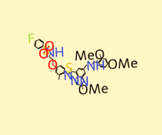 COc1ccc(CNCc2cc(-c3nc4c(C)cc(OCCNS(=O)(=O)c5ccc(F)cc5)cc4s3)c3ncc(OC)nc3c2)c(OC)c1